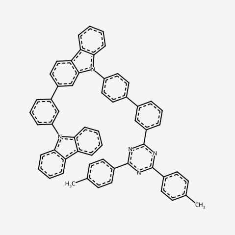 Cc1ccc(-c2nc(-c3ccc(C)cc3)nc(-c3cccc(-c4ccc(-n5c6ccccc6c6ccc(-c7cccc(-n8c9ccccc9c9ccccc98)c7)cc65)cc4)c3)n2)cc1